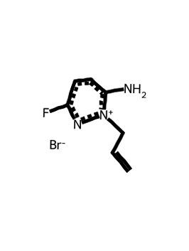 C=CC[n+]1nc(F)ccc1N.[Br-]